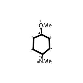 CN[C@H]1CC[C@@H](OC)CC1